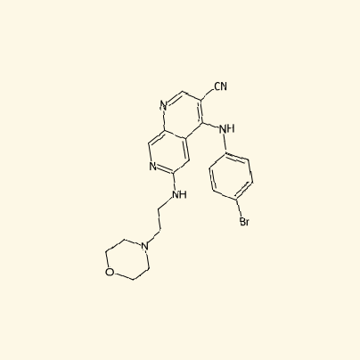 N#Cc1cnc2cnc(NCCN3CCOCC3)cc2c1Nc1ccc(Br)cc1